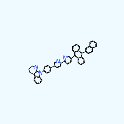 C1=Nc2c(c3ccccc3n2-c2ccc(-c3ccc(-c4ccc(-c5c6ccccc6c(-c6ccc7ccccc7c6)c6ccccc56)cn4)nc3)cc2)CC1